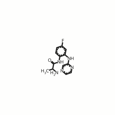 CC(N)C(=O)Nc1ccc(F)cc1Nc1cnccn1